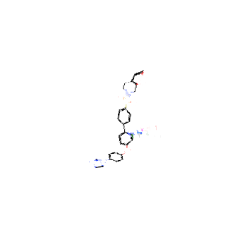 Cl.O=CNO.O=S(=O)(c1ccc(-c2ccc(Oc3ccc(-n4ccnc4)cc3)cc2)cc1)N1CCc2ccoc2C1